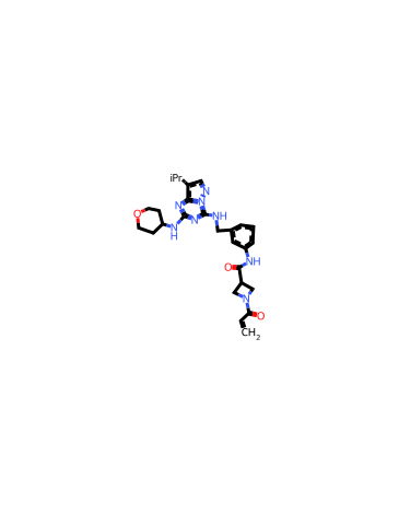 C=CC(=O)N1CC(C(=O)Nc2cccc(CNc3nc(NC4CCOCC4)nc4c(C(C)C)cnn34)c2)C1